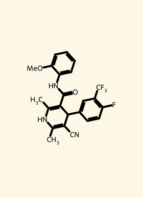 COc1ccccc1NC(=O)C1=C(C)NC(C)=C(C#N)C1c1ccc(F)c(C(F)(F)F)c1